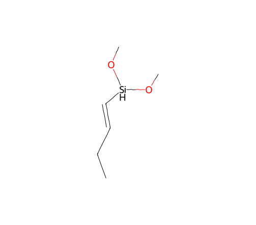 CCC=C[SiH](OC)OC